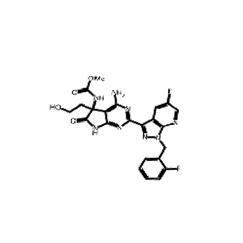 COC(=O)NC1(CCO)C(=O)Nc2nc(-c3nn(Cc4ccccc4F)c4ncc(F)cc34)nc(N)c21